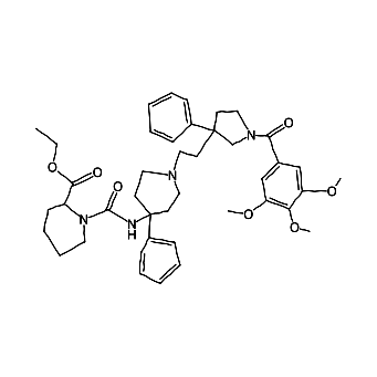 CCOC(=O)C1CCCCN1C(=O)NC1(c2ccccc2)CCN(CCC2(c3ccccc3)CCN(C(=O)c3cc(OC)c(OC)c(OC)c3)C2)CC1